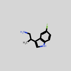 CC(CN)c1c[nH]c2ccc(F)cc12